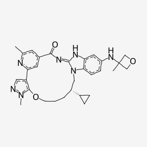 Cc1cc2cc(n1)-c1cnn(C)c1OCCC[C@@H](C1CC1)CN1/C(=N/C2=O)Nc2cc(NC3(C)COC3)ccc21